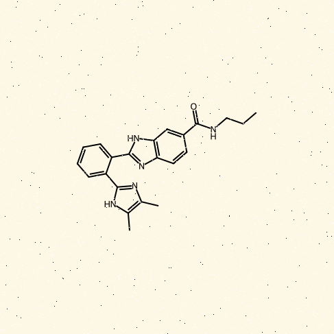 CCCNC(=O)c1ccc2nc(-c3ccccc3-c3nc(C)c(C)[nH]3)[nH]c2c1